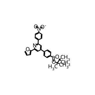 CC1(C)OB(c2ccc(-c3cc(-c4ccc([N+](=O)[O-])cc4)nc(-c4ccco4)c3)cc2)OC1(C)C